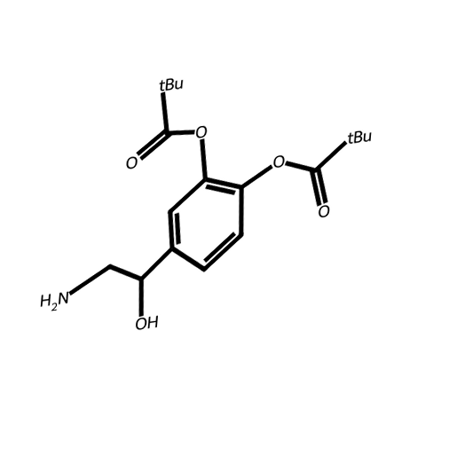 CC(C)(C)C(=O)Oc1ccc(C(O)CN)cc1OC(=O)C(C)(C)C